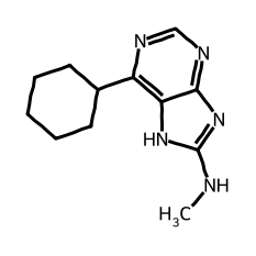 CNc1nc2ncnc(C3CCCCC3)c2[nH]1